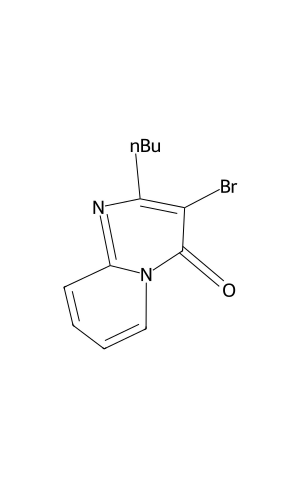 CCCCc1nc2ccccn2c(=O)c1Br